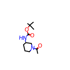 CC(=O)N1CCC[C@@H](NC(=O)OC(C)(C)C)C1